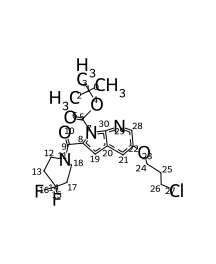 CC(C)(C)OC(=O)n1c(C(=O)N2CCC(F)(F)CC2)cc2cc(OCCCCl)cnc21